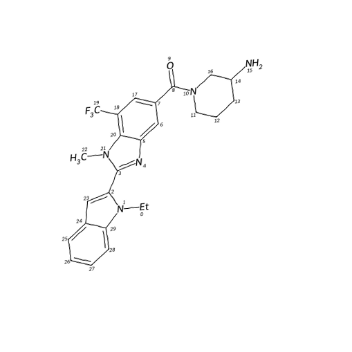 CCn1c(-c2nc3cc(C(=O)N4CCCC(N)C4)cc(C(F)(F)F)c3n2C)cc2ccccc21